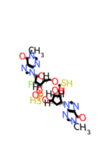 Cn1cnc2c(ncn2[C@@H]2C[C@@H]3OP(=O)(S)O[C@H]4[C@@H](F)[C@H](n5cnc6c(=O)n(C)cnc65)O[C@@H]4COC(S)O[C@@H]2[C@@H]3O)c1=O